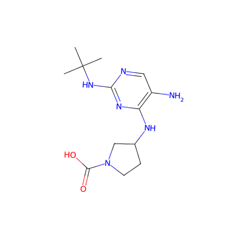 CC(C)(C)Nc1ncc(N)c(NC2CCN(C(=O)O)C2)n1